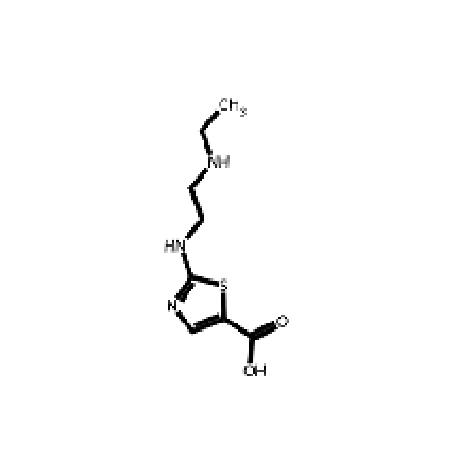 CCNCCNc1ncc(C(=O)O)s1